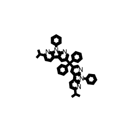 CC(C)c1ccc2c3cc(C(c4ccccc4)(c4ccccc4)c4cnc5c(c4)c4ccc(C(C)C)nc4n5-c4ccccc4)cnc3n(-c3ccccc3)c2n1